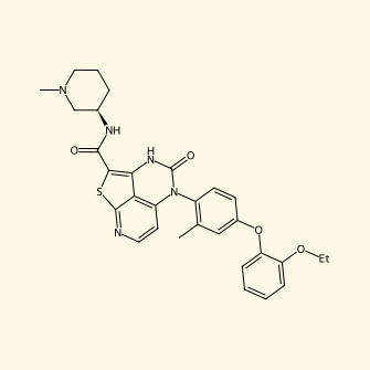 CCOc1ccccc1Oc1ccc(N2C(=O)Nc3c(C(=O)N[C@@H]4CCCN(C)C4)sc4nccc2c34)c(C)c1